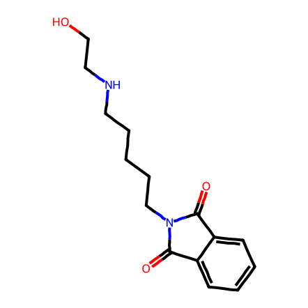 O=C1c2ccccc2C(=O)N1CCCCCNCCO